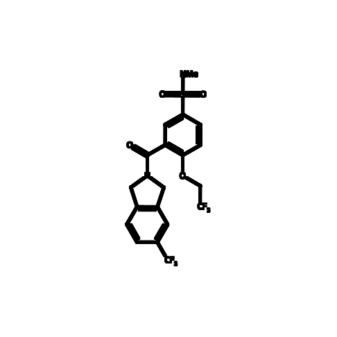 CNS(=O)(=O)c1ccc(OCC(F)(F)F)c(C(=O)N2Cc3ccc(C(F)(F)F)cc3C2)c1